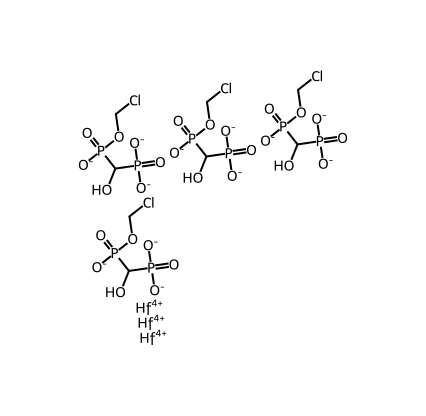 O=P([O-])([O-])C(O)P(=O)([O-])OCCl.O=P([O-])([O-])C(O)P(=O)([O-])OCCl.O=P([O-])([O-])C(O)P(=O)([O-])OCCl.O=P([O-])([O-])C(O)P(=O)([O-])OCCl.[Hf+4].[Hf+4].[Hf+4]